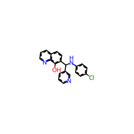 Oc1c(C(Nc2ccc(Cl)cc2)c2cccnc2)ccc2cccnc12